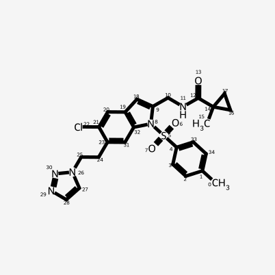 Cc1ccc(S(=O)(=O)n2c(CNC(=O)C3(C)CC3)cc3cc(Cl)c(CCn4ccnn4)cc32)cc1